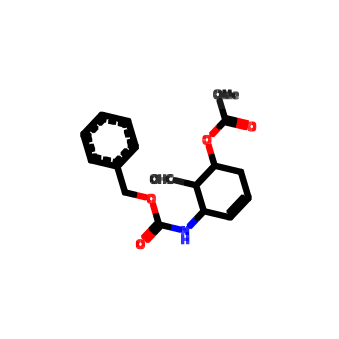 COC(=O)OC1CC=CC(NC(=O)OCc2ccccc2)C1C=O